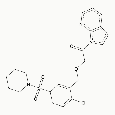 O=C(COCC1=CC(S(=O)(=O)N2CCCCC2)CC=C1Cl)n1ccc2cccnc21